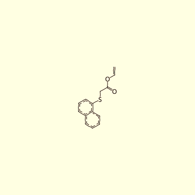 C=COC(=O)CSc1cccc2ccccc12